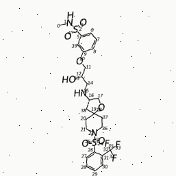 CNS(=O)(=O)c1cccc(OCC(O)CNC2COC3(CCN(S(=O)(=O)c4ccccc4C(F)(F)F)CC3)C2)c1